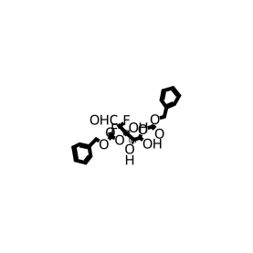 O=CC(F)(F)[C@@](O)(OC(=O)OCc1ccccc1)[C@H](O)C(O)OC(=O)OCc1ccccc1